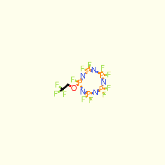 FC(F)(F)COP1(F)=NP(F)(F)=NP(F)(F)=NP(F)(F)=NP(F)(F)=N1